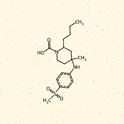 CCCCC1CC(C)(Nc2ccc(S(C)(=O)=O)cc2)CCN1C(=O)O